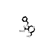 COC(=O)/C1=C(\OCc2ccccc2)COC/C=C(/CO)O1